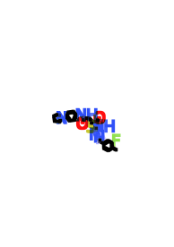 Cc1ccc(/C=N/N=C2\NC(=O)C(CC(=O)Nc3ccc(N4CCCC4)cc3)S2)cc1F